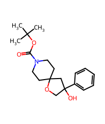 CC(C)(C)OC(=O)N1CCC2(CC1)CC(O)(c1ccccc1)CO2